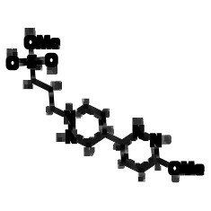 COc1ccc(-c2cc[n+](CCCS(=O)(=O)OC)nc2)nn1